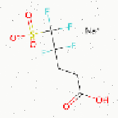 O=C(O)CCC(F)(F)C(F)(F)S(=O)(=O)[O-].[Na+]